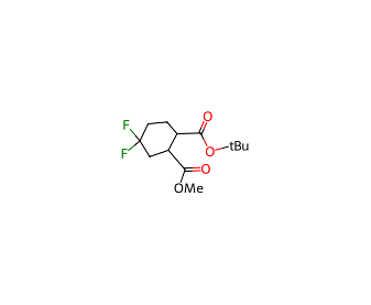 COC(=O)C1CC(F)(F)CCC1C(=O)OC(C)(C)C